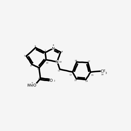 COC(=O)c1cccc2ncn(Cc3ccc(C(F)(F)F)cc3)c12